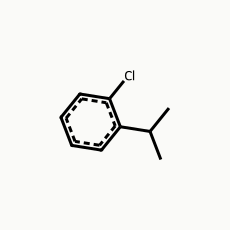 CC(C)c1ccccc1Cl